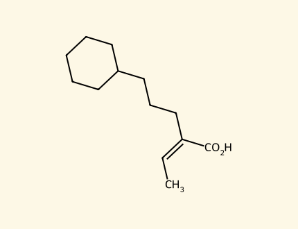 CC=C(CCCC1CCCCC1)C(=O)O